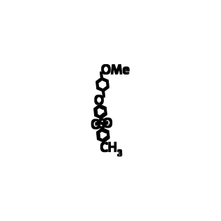 COCC1CCC(COc2ccc(S(=O)(=O)c3ccc(C)cc3)cc2)CC1